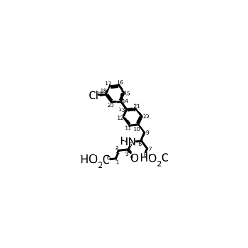 O=C(O)CCC(=O)NC(CC(=O)O)Cc1ccc(-c2cccc(Cl)c2)cc1